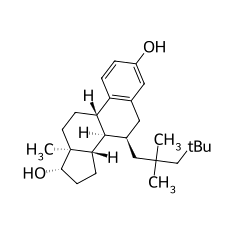 CC(C)(C)CC(C)(C)C[C@@H]1Cc2cc(O)ccc2[C@H]2CC[C@]3(C)[C@@H](O)CC[C@H]3[C@H]12